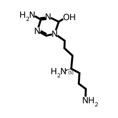 NCCC[C@H](N)CCCN1C=NC(N)=NC1O